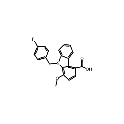 COc1ccc(C(=O)O)c2c3ccccc3n(Cc3ccc(F)cc3)c12